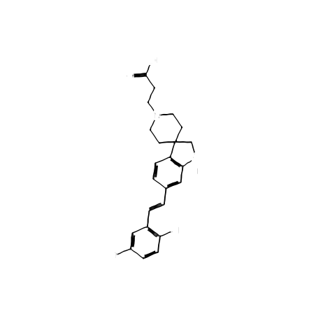 Cl.O=C(O)CCN1CCC2(CC1)COc1cc(C=Cc3cc(Cl)ccc3Cl)ccc12